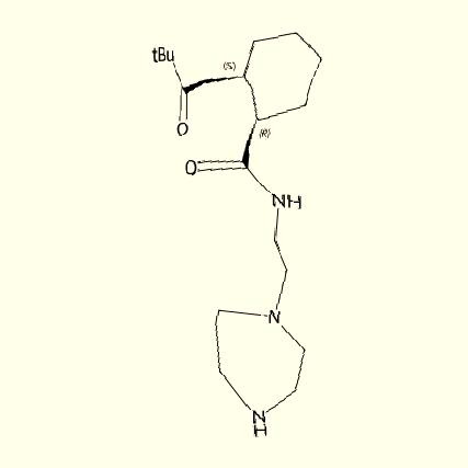 CC(C)(C)C(=O)[C@H]1CCCC[C@H]1C(=O)NCCN1CCNCC1